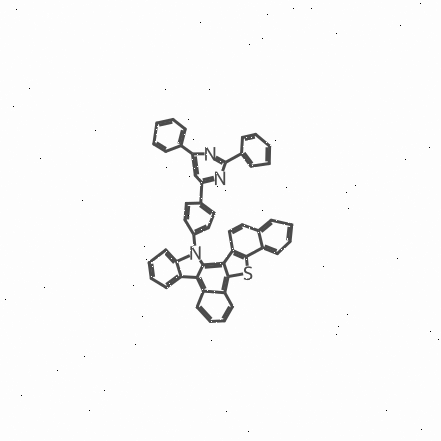 c1ccc(-c2cc(-c3ccc(-n4c5ccccc5c5c6ccccc6c6sc7c8ccccc8ccc7c6c54)cc3)nc(-c3ccccc3)n2)cc1